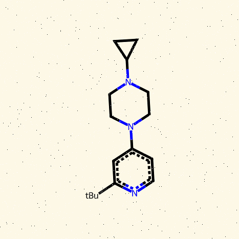 CC(C)(C)c1cc(N2CCN(C3CC3)CC2)ccn1